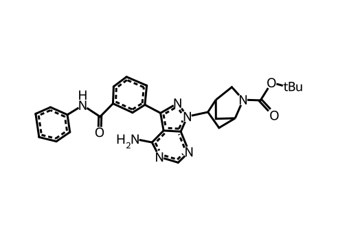 CC(C)(C)OC(=O)N1CC2CC1CC2n1nc(-c2cccc(C(=O)Nc3ccccc3)c2)c2c(N)ncnc21